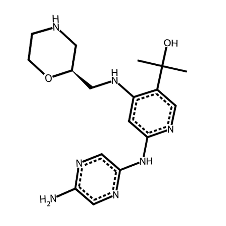 CC(C)(O)c1cnc(Nc2cnc(N)cn2)cc1NC[C@@H]1CNCCO1